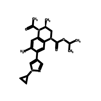 CC(=O)N1c2cc(N)c(-c3cnn(C4CC4)c3)cc2N(C(=O)OC(C)C)C[C@@H]1C